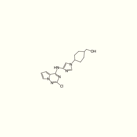 OCC1CCC(n2cnc(Nc3nc(Cl)nn4cccc34)c2)CC1